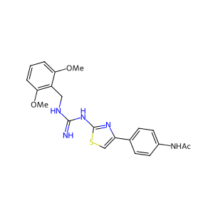 COc1cccc(OC)c1CNC(=N)Nc1nc(-c2ccc(NC(C)=O)cc2)cs1